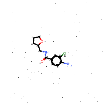 Nc1ccc(C(=O)NCC2CCCO2)cc1Cl